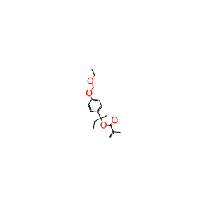 C=C(C)C(=O)OC(C)(CC)c1ccc(OCOCC)cc1